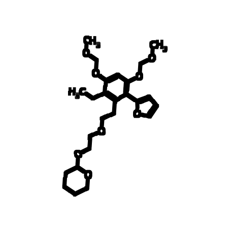 CCc1c(OCOC)cc(OCOC)c(-c2ccco2)c1CCOCCOC1CCCCO1